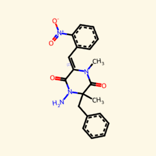 CN1C(=O)C(C)(Cc2ccccc2)N(N)C(=O)/C1=C/c1ccccc1[N+](=O)[O-]